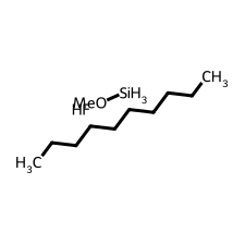 CCCCCCCCCC.CO[SiH3].F